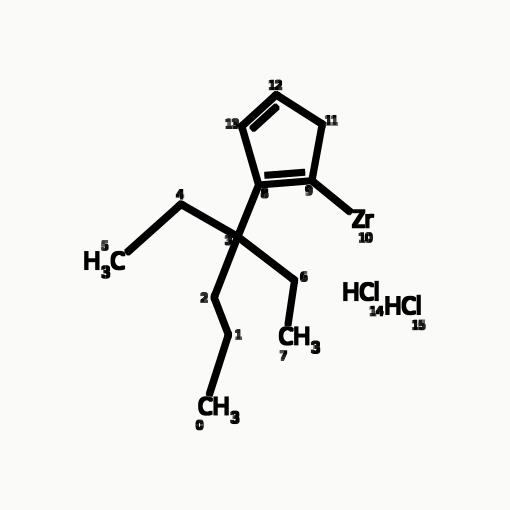 CCCC(CC)(CC)C1=[C]([Zr])CC=C1.Cl.Cl